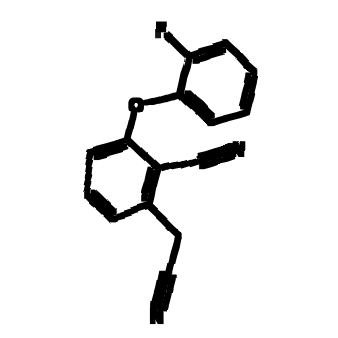 N#CCc1cccc(Oc2ccccc2F)c1C#N